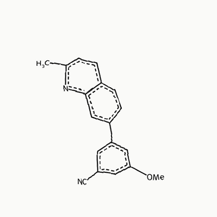 COc1cc(C#N)cc(-c2ccc3ccc(C)nc3c2)c1